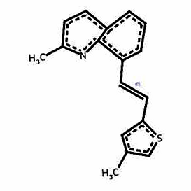 Cc1csc(/C=C/c2cccc3ccc(C)nc23)c1